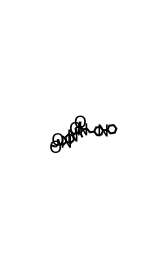 COC(=O)CN1CCN(C2OC(=O)N(CCC3CCN(C4CCCCC4)CC3)C2C)CC1